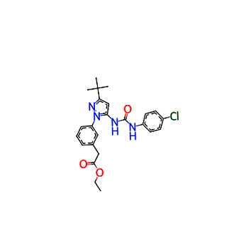 CCOC(=O)Cc1cccc(-n2nc(C(C)(C)C)cc2NC(=O)Nc2ccc(Cl)cc2)c1